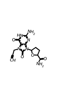 C#CCn1c(=O)n(C2CCC(C(N)=O)O2)c2nc(N)[nH]c(=O)c21